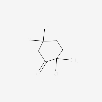 CC1(N=O)CCC(C)(C)C(=O)C1